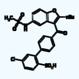 CCCCc1oc2ccc(NS(C)(=O)=O)cc2c1C(=O)c1ccc(-c2cc(Cl)ccc2S(=O)(=O)O)cc1